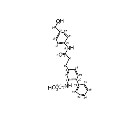 O=C(O)Nc1cc(CCC(=O)Nc2ccc(CO)cc2)ccc1-c1ccccc1